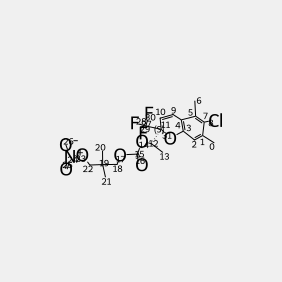 Cc1cc2c(c(C)c1Cl)C=C[C@](C(C)OC(=O)OCC(C)(C)CO[N+](=O)[O-])(C(F)(F)F)O2